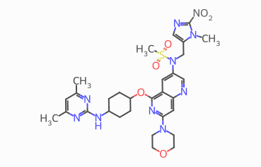 Cc1cc(C)nc(NC2CCC(Oc3nc(N4CCOCC4)cc4ncc(N(Cc5cnc([N+](=O)[O-])n5C)S(C)(=O)=O)cc34)CC2)n1